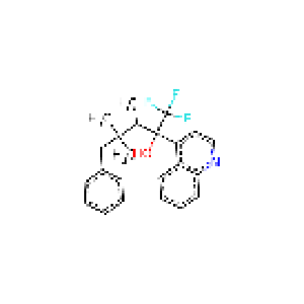 CC(C(C)(C)Cc1ccccc1)C(O)(c1ccnc2ccccc12)C(F)(F)F